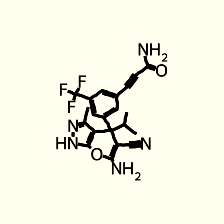 Cc1n[nH]c2c1C(c1cc(C#CC(N)=O)cc(C(F)(F)F)c1)(C(C)C)C(C#N)=C(N)O2